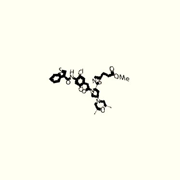 COC(=O)CCc1cnc([C@@H]2C[C@H](N3C[C@@H](C)O[C@@H](C)C3)CN2C(=O)Cc2cc(Cl)c(NC(=O)c3csc4ccccc34)cc2Cl)s1